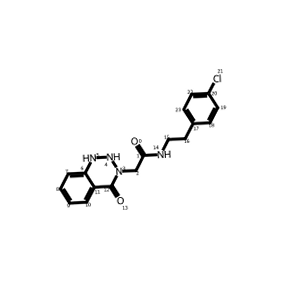 O=C(CN1NNc2ccccc2C1=O)NCCc1ccc(Cl)cc1